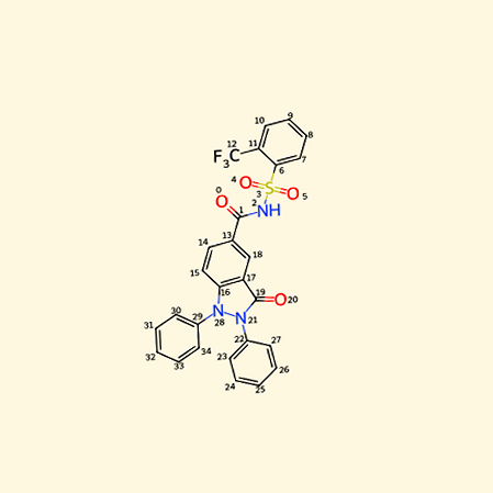 O=C(NS(=O)(=O)c1ccccc1C(F)(F)F)c1ccc2c(c1)c(=O)n(-c1ccccc1)n2-c1ccccc1